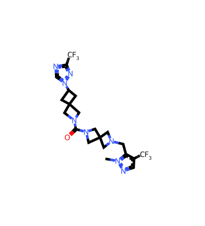 Cn1ncc(C(F)(F)F)c1CN1CC2(C1)CN(C(=O)N1CC3(CC(n4cnc(C(F)(F)F)n4)C3)C1)C2